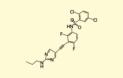 CCCNc1ncc(C#Cc2c(F)ccc(NS(=O)(=O)c3cc(Cl)ccc3Cl)c2F)cn1